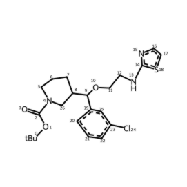 CC(C)(C)OC(=O)N1CCCC(C(OCCNc2nccs2)c2cccc(Cl)c2)C1